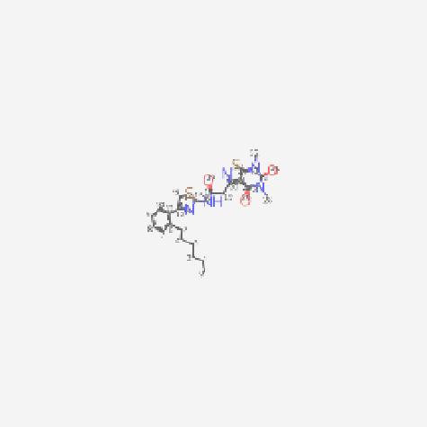 CCCCCCc1ccccc1-c1csc(NC(=O)Cc2nsc3c2c(=O)n(C)c(=O)n3C)n1